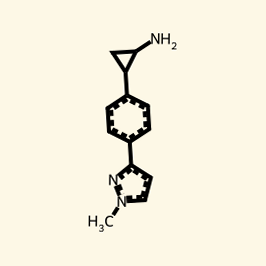 Cn1ccc(-c2ccc(C3CC3N)cc2)n1